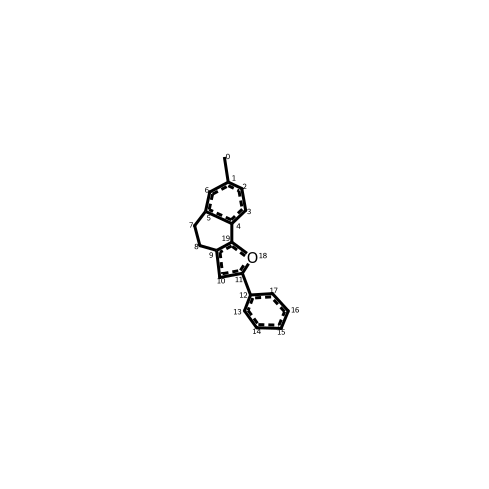 Cc1ccc2c(c1)CCc1cc(-c3ccccc3)oc1-2